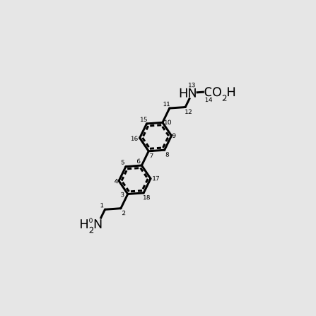 NCCc1ccc(-c2ccc(CCNC(=O)O)cc2)cc1